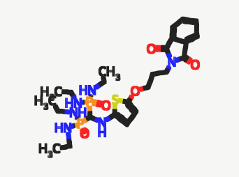 CCNP(=O)(NCC)C(Nc1ccc(OCCCN2C(=O)c3ccccc3C2=O)s1)P(=O)(NCC)NCC